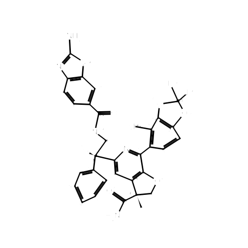 C[C@]1(C(N)=O)COc2c1cc([C@@](O)(CNC(=O)c1ccc3nc(N)sc3c1)c1ccccc1)nc2-c1ccc2c(c1Cl)OC(F)(F)O2